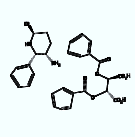 CC[C@H]1CC[C@H](N)[C@H](c2ccccc2)N1.O=C(O[C@@H](C(=O)O)[C@@H](OC(=O)c1ccccc1)C(=O)O)c1ccccc1